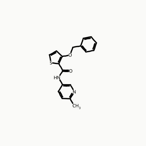 Cc1ccc(NC(=O)c2sccc2OCc2ccccc2)cn1